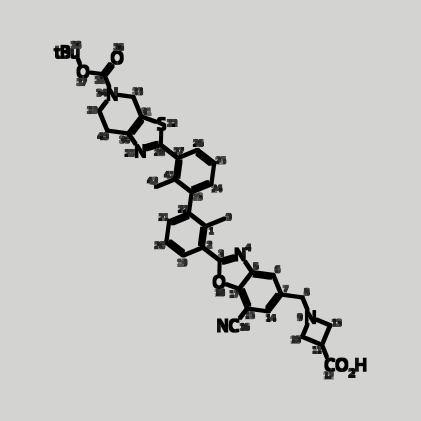 Cc1c(-c2nc3cc(CN4CC(C(=O)O)C4)cc(C#N)c3o2)cccc1-c1cccc(-c2nc3c(s2)CN(C(=O)OC(C)(C)C)CC3)c1C